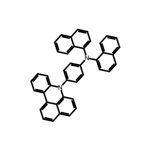 c1ccc2c(c1)-c1cccc3cccc(c13)N2c1ccc(N(c2cccc3ccccc23)c2cccc3ccccc23)cc1